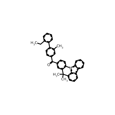 CCc1ccccc1-c1ccc(C(=O)c2ccc3c(c2)C(C)(C)c2cccc4c5ccccc5n-3c24)cc1C